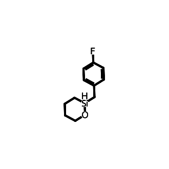 Fc1ccc(C[SiH]2CCCCO2)cc1